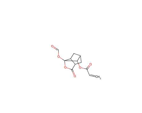 C=CC(=O)OC1C2CC3C(=O)OC1(OC=O)C3C2